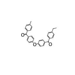 CCc1ccc(C(=O)c2ccc(Oc3ccc(C(=O)c4ccc(C)cc4)cc3)cc2)cc1